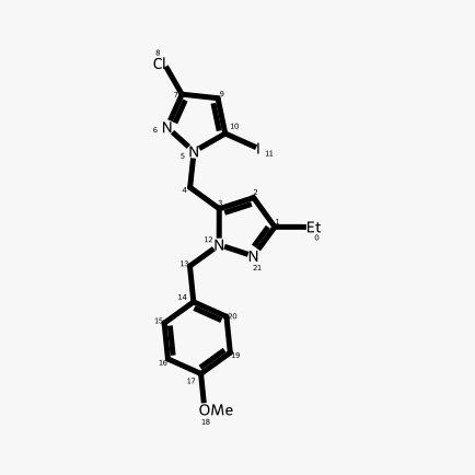 CCc1cc(Cn2nc(Cl)cc2I)n(Cc2ccc(OC)cc2)n1